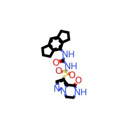 O=C(Nc1c2c(cc3c1CCC3)CCC2)NS(=O)(=O)c1cnn2c1C(=O)NCC2